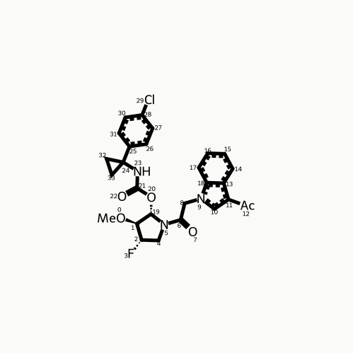 CO[C@@H]1[C@@H](F)CN(C(=O)Cn2cc(C(C)=O)c3ccccc32)[C@H]1OC(=O)NC1(c2ccc(Cl)cc2)CC1